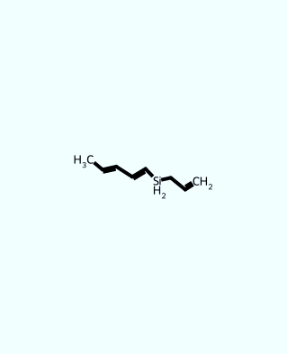 C=CC[SiH2]C=CC=CC